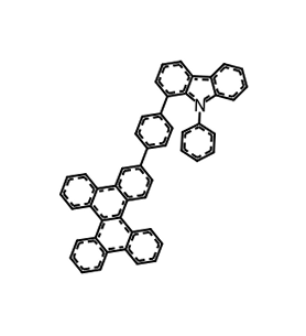 c1ccc(-n2c3ccccc3c3cccc(-c4ccc(-c5ccc6c(c5)c5ccccc5c5c7ccccc7c7ccccc7c65)cc4)c32)cc1